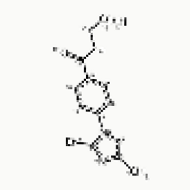 CCc1nc(C)cn1-c1ccc(C(=O)CCC(=O)O)cc1